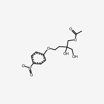 CC(=O)OCC(O)(CO)CCOc1ccc([N+](=O)[O-])cc1